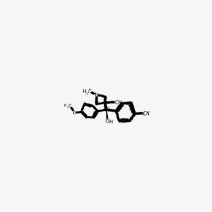 CN1CC(C)([C@](O)(c2ccc(C#N)cc2)c2ccc(OC(F)(F)F)cc2)C1